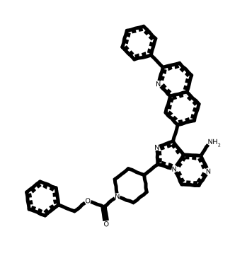 Nc1nccn2c(C3CCN(C(=O)OCc4ccccc4)CC3)nc(-c3ccc4ccc(-c5ccccc5)nc4c3)c12